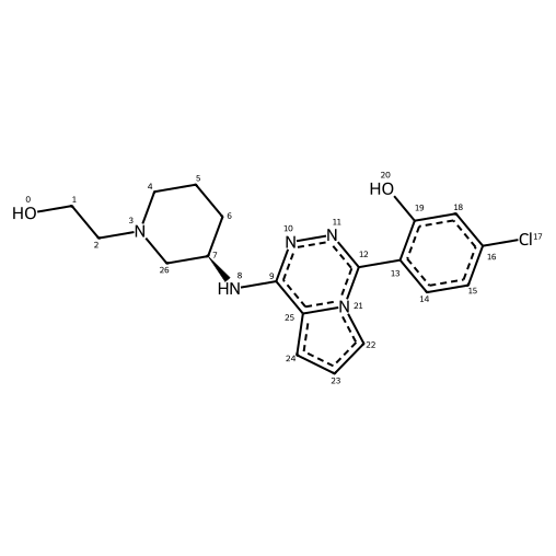 OCCN1CCC[C@@H](Nc2nnc(-c3ccc(Cl)cc3O)n3cccc23)C1